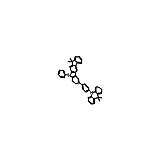 CC1(C)C2=CCCC=C2N(c2ccc(C3=Cc4c(n(-c5ccccc5)c5cc6c(cc45)-c4ccccc4C6(C)C)CC3)cc2)c2ccccc21